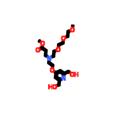 COCCOCCOCCN(CCOc1cc(CO)nc(CO)c1)CCC(=O)OC